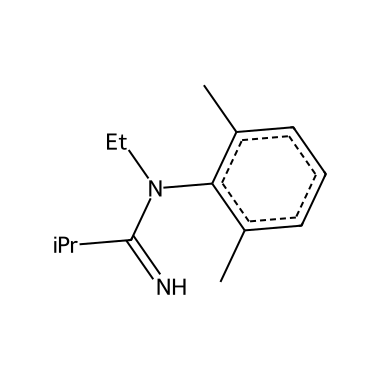 CCN(C(=N)C(C)C)c1c(C)cccc1C